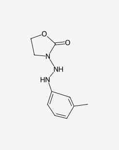 Cc1cccc(NNN2CCOC2=O)c1